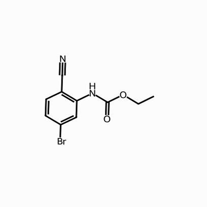 CCOC(=O)Nc1cc(Br)ccc1C#N